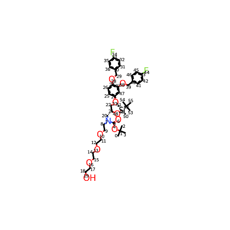 CC(C)(C)OC(=O)N(CCOCCOCCOCCO)C[C@H](COc1ccc(OCc2ccc(F)cc2)c(OCc2ccc(F)cc2)c1)O[Si](C)(C)C(C)(C)C